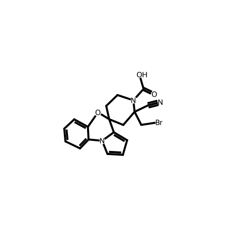 N#CC1(CBr)CC2(CCN1C(=O)O)Oc1ccccc1-n1cccc12